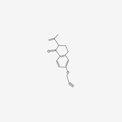 C#CCOc1ccc2c(c1)CCC(C(=C)C)C2=O